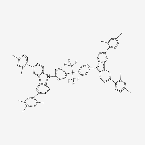 Cc1ccc(-c2ccc3c(c2)c2cc(-c4ccc(C)cc4C)ccc2n3-c2ccc(C(c3ccc(-n4c5ccc(-c6ccc(C)cc6C)cc5c5cc(-c6cc(C)c(C)cc6C)ccc54)cc3)(C(F)(F)F)C(F)(F)F)cc2)c(C)c1